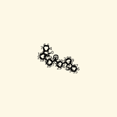 C[Si]1(C)c2ccccc2-c2cccc(-c3cccc(C(=O)c4cccc(-c5cccc6c5sc5ccccc56)c4)c3)c21